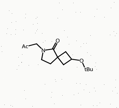 CC(=O)CN1CCC2(CC(OC(C)(C)C)C2)C1=O